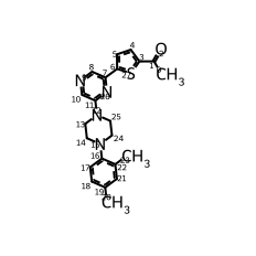 CC(=O)c1ccc(-c2cncc(N3CCN(c4ccc(C)cc4C)CC3)n2)s1